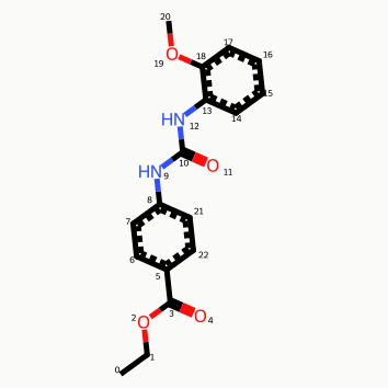 CCOC(=O)c1ccc(NC(=O)Nc2ccccc2OC)cc1